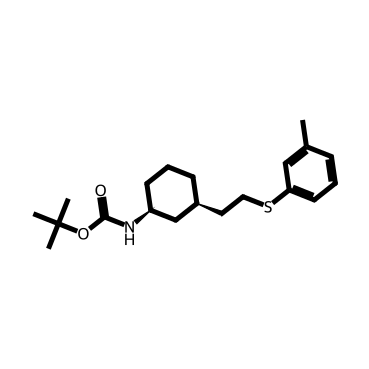 Cc1cccc(SCC[C@@H]2CCC[C@H](NC(=O)OC(C)(C)C)C2)c1